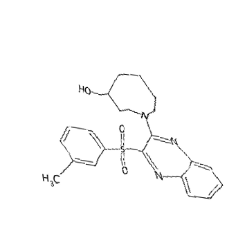 Cc1cccc(S(=O)(=O)c2nc3ccccc3nc2N2CCCC(O)C2)c1